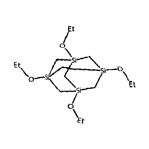 CCO[Si]12C[Si]3(OCC)C[Si](OCC)(C1)C[Si](OCC)(C2)C3